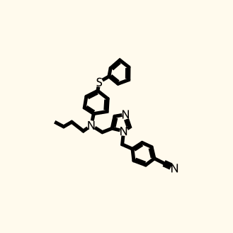 CCCCN(Cc1cncn1Cc1ccc(C#N)cc1)c1ccc(Sc2ccccc2)cc1